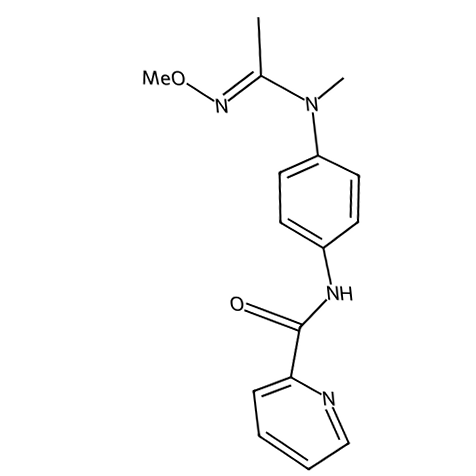 CON=C(C)N(C)c1ccc(NC(=O)c2ccccn2)cc1